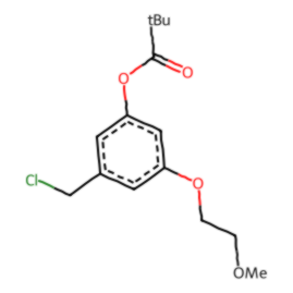 COCCOc1cc(CCl)cc(OC(=O)C(C)(C)C)c1